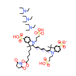 CC1(CCCCCC(=O)ON2C(=O)CCC2=O)C(/C=C/C=C/C=C2/N(CCCS(=O)(=O)O)c3ccc(S(=O)(=O)[O-])cc3C2(C)C)=[N+](CCCS(=O)(=O)O)c2ccc(S(=O)(=O)O)cc21.CCN(CC)CC.CCN(CC)CC.CCN(CC)CC